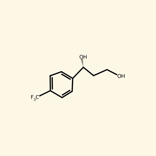 OCC[C@@H](O)c1ccc(C(F)(F)F)cc1